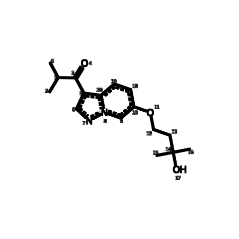 CC(C)C(=O)c1cnn2cc(OCCC(C)(C)O)ccc12